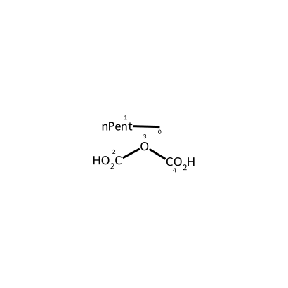 CCCCCC.O=C(O)OC(=O)O